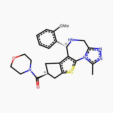 COc1ccccc1[C@@H]1NCc2nnc(C)n2-c2sc3c(c21)C[C@H](C(=O)N1CCOCC1)C3